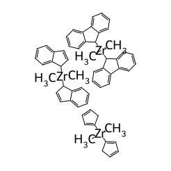 [CH3][Zr]([CH3])([CH]1C=Cc2ccccc21)[CH]1C=Cc2ccccc21.[CH3][Zr]([CH3])([CH]1c2ccccc2-c2ccccc21)[CH]1c2ccccc2-c2ccccc21.[CH3][Zr]([CH3])([C]1=CC=CC1)[C]1=CC=CC1